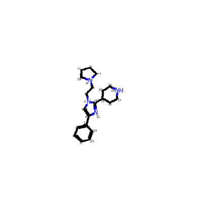 c1ccc(-c2cn(CCN3CCCC3)c(C3CCNCC3)n2)cc1